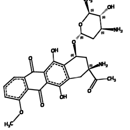 COc1cccc2c1C(=O)c1c(O)c3c(c(O)c1C2=O)[C@@H](O[C@H]1C[C@H](N)[C@@H](O)[C@H](C)O1)C[C@](N)(C(C)=O)C3